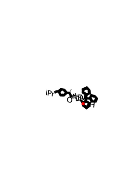 CC(C)Cc1ccc([C@H](C)C(=O)NC[C@H](CO)NC(c2ccccc2)(c2ccccc2)c2ccccc2)cc1